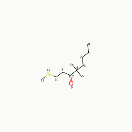 CCCCC(C)(C)C(=O)CCSC